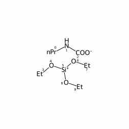 CCCNC(=O)[O-].CCO[Si+](OCC)OCC